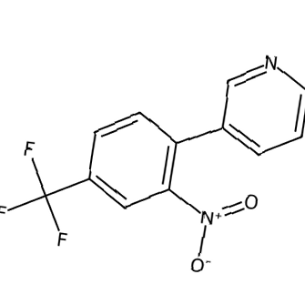 O=[N+]([O-])c1cc(C(F)(F)F)ccc1-c1cccnc1